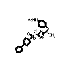 CC(=O)Nc1ccc(S[C@H](C)c2nsc(NS(=O)(=O)c3ccc(-c4ccccc4)cc3)n2)cc1